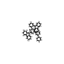 c1ccc(-c2cccc(-c3nc(-c4ccccc4-n4c5ccccc5c5ccccc54)nc(-n4c5ccccc5c5ccccc54)n3)c2)cc1